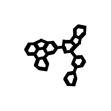 c1ccc(-c2cccc(-c3nc(-c4cc5sc6cccc7c8ccccc8c(c4)c5c67)nc4c3oc3ccccc34)c2)cc1